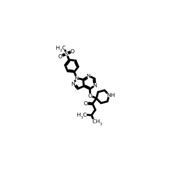 CC(C)CC(=O)C1(Oc2ncnc3c2cnn3-c2ccc(S(C)(=O)=O)cc2)CCNCC1